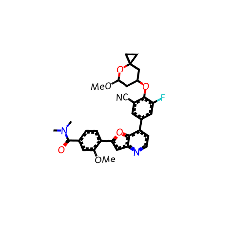 COc1cc(C(=O)N(C)C)ccc1-c1cc2nccc(-c3cc(F)c(OC4CC(OC)OC5(CC5)C4)c(C#N)c3)c2o1